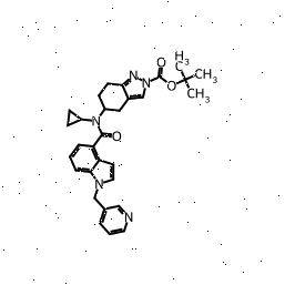 CC(C)(C)OC(=O)n1cc2c(n1)CCC(N(C(=O)c1cccc3c1ccn3Cc1cccnc1)C1CC1)C2